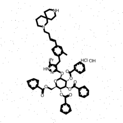 Cc1cc(/C=C/CCN2CCCC3(CCNCC3)C2)ccc1Cc1c(O[C@@H]2O[C@H](COC(=O)c3ccccc3)[C@@H](OC(=O)c3ccccc3)[C@H](OC(=O)c3ccccc3)[C@H]2OC(=O)c2ccccc2)n[nH]c1C(C)C.Cl.Cl